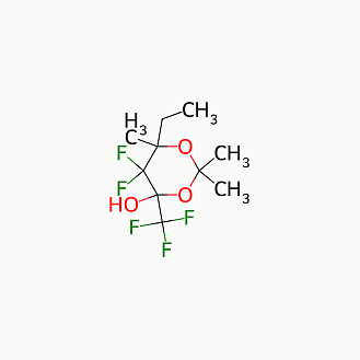 CCC1(C)OC(C)(C)OC(O)(C(F)(F)F)C1(F)F